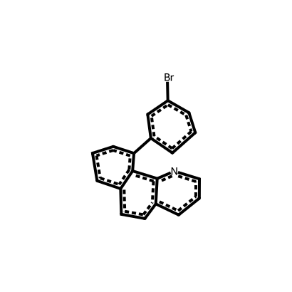 Brc1cccc(-c2cccc3ccc4cccnc4c23)c1